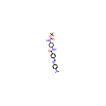 CN(C)c1ccc(N=Nc2ccc(C(=O)NC3CCC(NC(=O)OC(C)(C)C)CC3)cc2)cc1